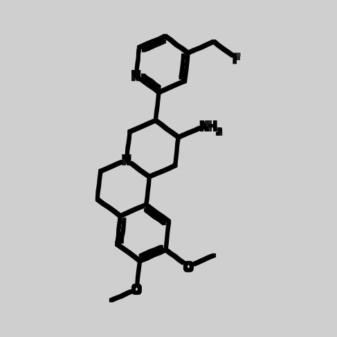 COc1cc2c(cc1OC)C1CC(N)C(c3cc(CF)ccn3)CN1CC2